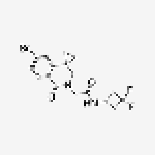 O=C(CN1CC2(CC2)c2cc(Br)ccc2C1=O)NC1CC(F)(F)C1